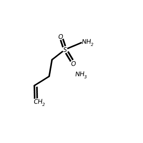 C=CCCS(N)(=O)=O.N